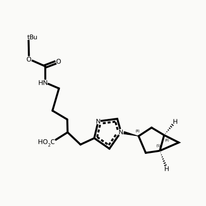 CC(C)(C)OC(=O)NCCCC(Cc1cn([C@H]2C[C@H]3C[C@H]3C2)cn1)C(=O)O